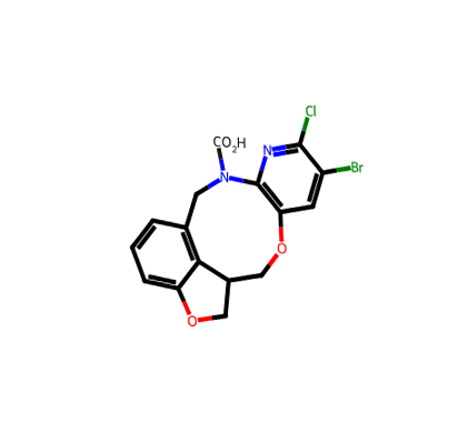 O=C(O)N1Cc2cccc3c2C(COc2cc(Br)c(Cl)nc21)CO3